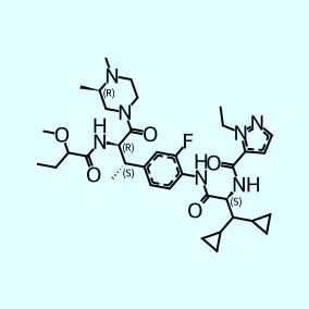 CCC(OC)C(=O)N[C@@H](C(=O)N1CCN(C)[C@H](C)C1)[C@@H](C)c1ccc(NC(=O)[C@@H](NC(=O)c2ccnn2CC)C(C2CC2)C2CC2)c(F)c1